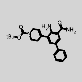 CC(C)(C)OC(=O)N1CC=C(c2cc(-c3ccccc3)cc(C(N)=O)c2N)CC1